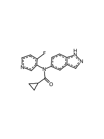 O=C(C1CC1)N(c1ccc2[nH]ncc2c1)c1cnccc1F